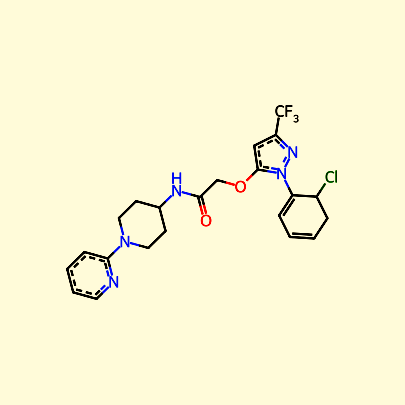 O=C(COc1cc(C(F)(F)F)nn1C1=CC=CCC1Cl)NC1CCN(c2ccccn2)CC1